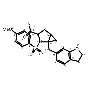 COc1ccc(S(=N)(=O)N2C(C(N)=O)CC3CC32Cc2ccc3c(c2)OCC3)cc1